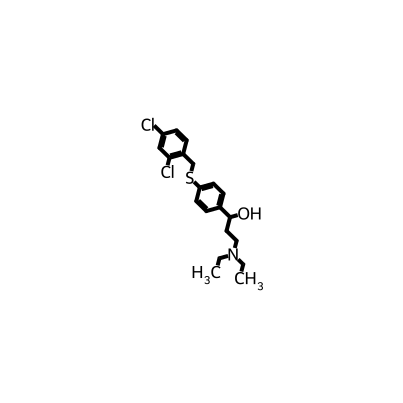 CCN(CC)CCC(O)c1ccc(SCc2ccc(Cl)cc2Cl)cc1